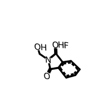 F.O=C1c2ccccc2C(=O)N1CO